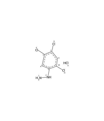 Cl.NNc1cc(Cl)c(Cl)cc1Cl